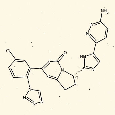 Nc1ccc(-c2cnc([C@@H]3CCc4cc(-c5cc(Cl)ccc5-n5cnnn5)cc(=O)n43)[nH]2)nn1